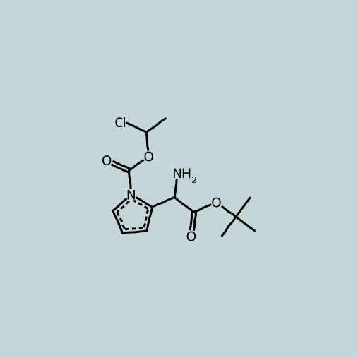 CC(Cl)OC(=O)n1cccc1C(N)C(=O)OC(C)(C)C